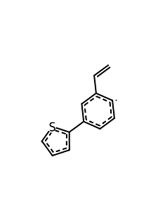 C=Cc1[c]ccc(-c2cccs2)c1